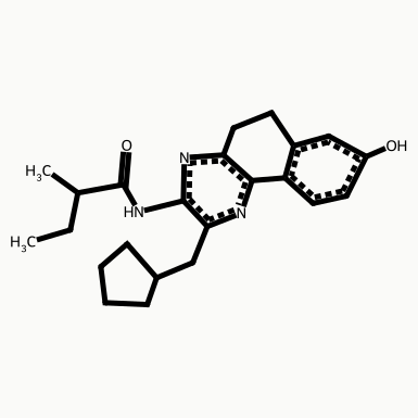 CCC(C)C(=O)Nc1nc2c(nc1CC1CCCC1)-c1ccc(O)cc1CC2